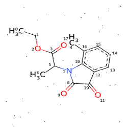 CCOC(=O)C(C)N1C(=O)C(=O)c2cccc(C)c21